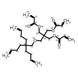 C=CCCC(CCC=C)(CCC=C)COCC(COC(=O)C=C)(COC(=O)C=C)COC(=O)C=C